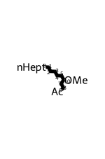 CCCCCCCCCCCCC(CCC(C)=O)OC